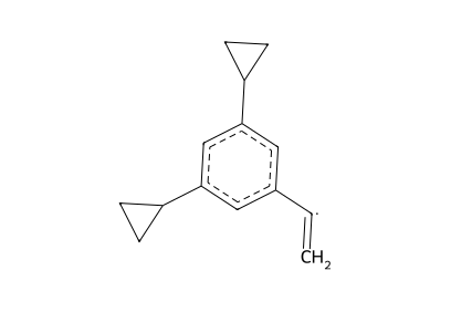 C=[C]c1cc(C2CC2)cc(C2CC2)c1